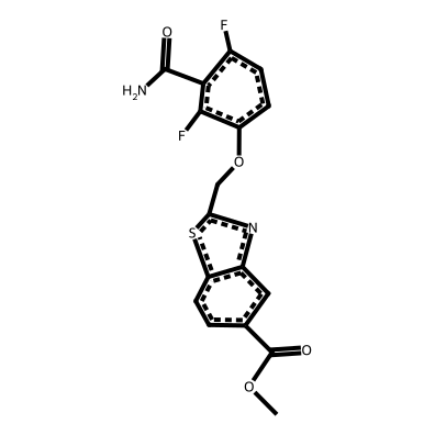 COC(=O)c1ccc2sc(COc3ccc(F)c(C(N)=O)c3F)nc2c1